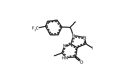 Cc1nc2c(c(I)nn2C(C)c2ccc(C(F)(F)F)cc2)c(=O)[nH]1